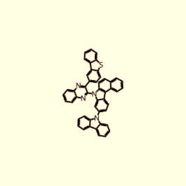 c1ccc2c(c1)ccc1c2c2ccc(-n3c4ccccc4c4ccccc43)cc2n1-c1nc2ccccc2nc1-c1ccc2sc3ccccc3c2c1